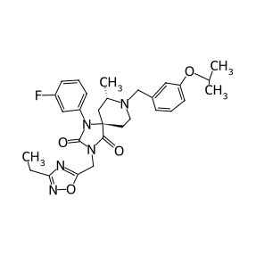 CCc1noc(CN2C(=O)N(c3cccc(F)c3)[C@@]3(CCN(Cc4cccc(OC(C)C)c4)[C@@H](C)C3)C2=O)n1